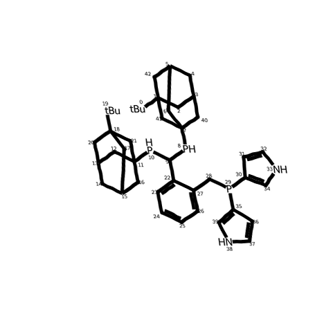 CC(C)(C)C12CC3CC(CC(PC(PC45CC6CC(C4)CC(C(C)(C)C)(C6)C5)c4ccccc4CP(c4cc[nH]c4)c4cc[nH]c4)(C3)C1)C2